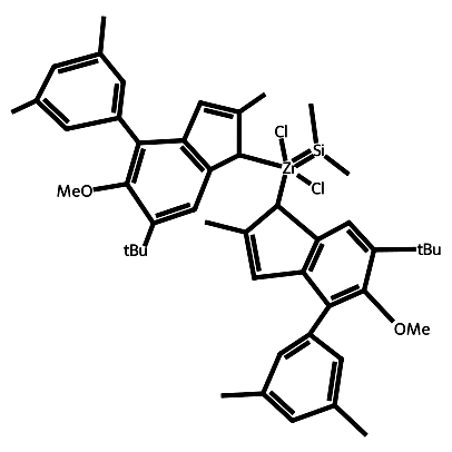 COc1c(C(C)(C)C)cc2c(c1-c1cc(C)cc(C)c1)C=C(C)[CH]2[Zr]([Cl])([Cl])([CH]1C(C)=Cc2c1cc(C(C)(C)C)c(OC)c2-c1cc(C)cc(C)c1)=[Si](C)C